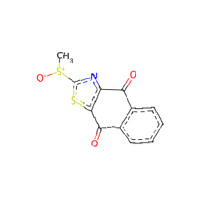 C[S+]([O-])c1nc2c(s1)C(=O)c1ccccc1C2=O